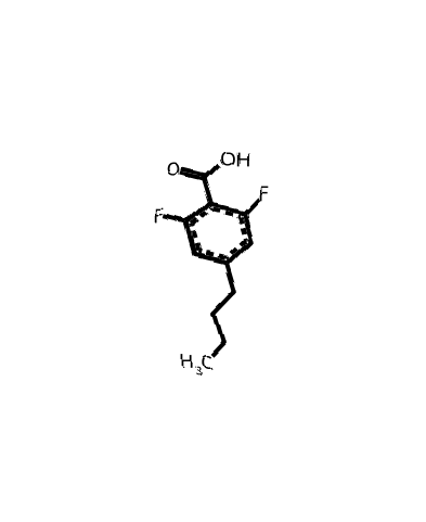 CCCCc1cc(F)c(C(=O)O)c(F)c1